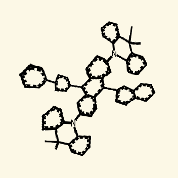 CC1(C)c2ccccc2N(c2ccc3c(-c4ccc5ccccc5c4)c4cc(N5c6ccccc6C(C)(C)c6ccccc65)ccc4c(-c4ccc(-c5ccccc5)cc4)c3c2)c2ccccc21